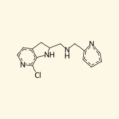 Clc1nccc2c1NC(CNCc1ccccn1)C2